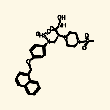 CS(=O)(=O)N1CCN([C@@H](CN(c2ccc(OCc3cccc4ccccc34)cc2)[SH](=O)=O)C(=O)NO)CC1